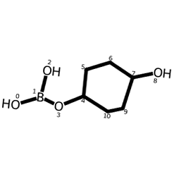 OB(O)OC1CCC(O)CC1